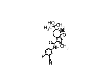 Cn1cc2c(c1C(=O)Nc1ccc(F)c(C#N)c1)CCC(C(C)(C)O)NS2(=O)=O